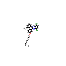 CCCCCCCCOc1cccc(-c2nc3c(Br)ccc(Br)c3nc2-c2cccc(C)c2)c1